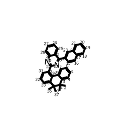 CC1(C)c2ccccc2-c2c(-c3nc(-c4ccc5ccccc5c4)c4ccccc4n3)cccc2C1(C)C